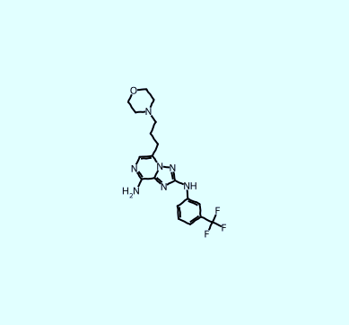 Nc1ncc(CCCN2CCOCC2)n2nc(Nc3cccc(C(F)(F)F)c3)nc12